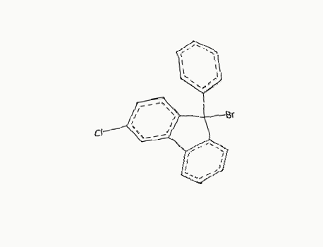 Clc1ccc2c(c1)-c1ccccc1C2(Br)c1ccccc1